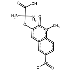 BC(B)(Oc1cc2cc([N+](=O)[O-])ccc2n(C)c1=O)C(=O)O